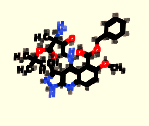 COc1ccc2nc3[nH]nc(C)c3c(NCC(=O)[C@@](C)(N)C(=O)OC(C)(C)C)c2c1C(=O)OCc1ccccc1